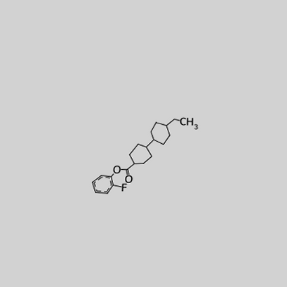 CCC1CCC(C2CCC(C(=O)Oc3ccccc3F)CC2)CC1